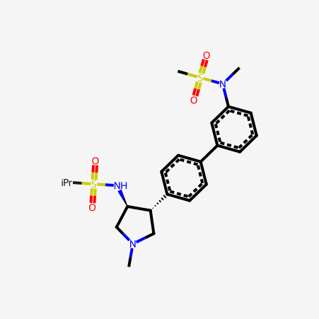 CC(C)S(=O)(=O)N[C@@H]1CN(C)C[C@H]1c1ccc(-c2cccc(N(C)S(C)(=O)=O)c2)cc1